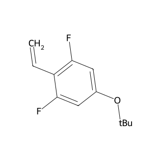 C=Cc1c(F)cc(OC(C)(C)C)cc1F